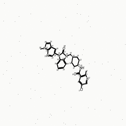 Cc1ncc(Cl)cc1C(=O)N[C@H]1CC[C@H](Cn2c(=O)n(-c3cnc4c(ccn4C)c3)c3ccccc32)CC1